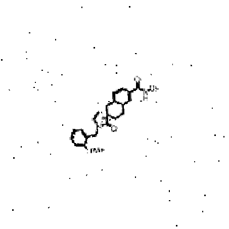 COc1ccccc1CN1CC[C@]2(CCC3C=C(C(=O)NO)C=CC3C2)C1=O